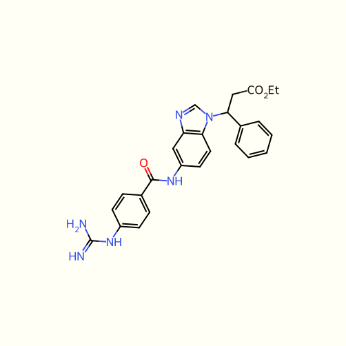 CCOC(=O)CC(c1ccccc1)n1cnc2cc(NC(=O)c3ccc(NC(=N)N)cc3)ccc21